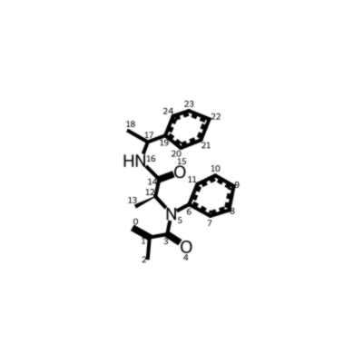 C=C(C)C(=O)N(c1ccccc1)[C@@H](C)C(=O)NC(C)c1ccccc1